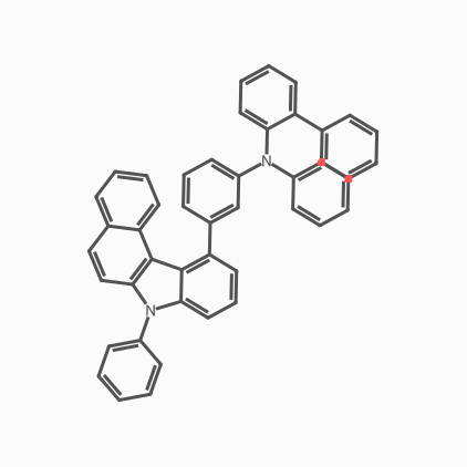 c1ccc(-c2ccccc2N(c2ccccc2)c2cccc(-c3cccc4c3c3c5ccccc5ccc3n4-c3ccccc3)c2)cc1